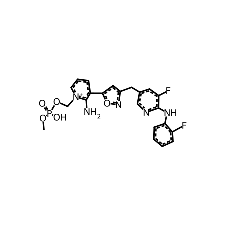 COP(=O)(O)OC[n+]1cccc(-c2cc(Cc3cnc(Nc4ccccc4F)c(F)c3)no2)c1N